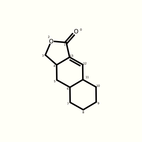 O=C1OCC2CC3CCCCC3C=C12